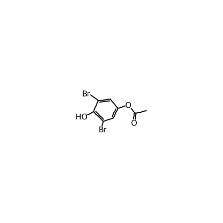 CC(=O)Oc1cc(Br)c(O)c(Br)c1